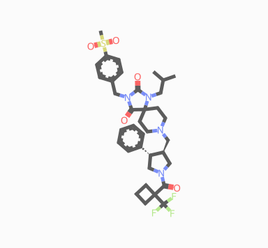 CC(C)CN1C(=O)N(Cc2ccc(S(C)(=O)=O)cc2)C(=O)C12CCN(C[C@H]1CN(C(=O)C3(C(F)(F)F)CCC3)C[C@@H]1c1ccccc1)CC2